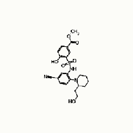 COC(=O)c1ccc(O)c(S(=O)(=O)Nc2cc(C#N)ccc2N2CCCCC2CCO)c1